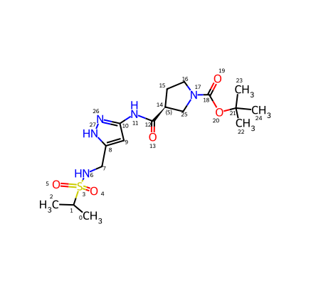 CC(C)S(=O)(=O)NCc1cc(NC(=O)[C@H]2CCN(C(=O)OC(C)(C)C)C2)n[nH]1